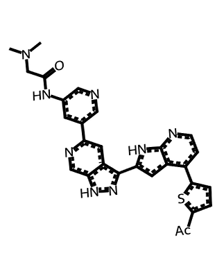 CC(=O)c1ccc(-c2ccnc3[nH]c(-c4n[nH]c5cnc(-c6cncc(NC(=O)CN(C)C)c6)cc45)cc23)s1